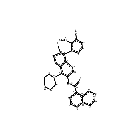 COc1c(Cl)cccc1-c1c(F)ccc2c(N3CCOCC3)c(NC(=O)c3ccnc4ccccc34)cnc12